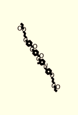 C=CC(=O)OCCCCOc1ccc(/C=N/c2ccc(OC(=O)c3ccc(OC(=O)c4ccc(OCCCCOC(=O)C=C)cc4)cc3)c(C)c2)cc1